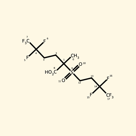 CC(CCC(F)(F)C(F)(F)F)(C(=O)O)S(=O)(=O)CCC(F)(F)C(F)(F)F